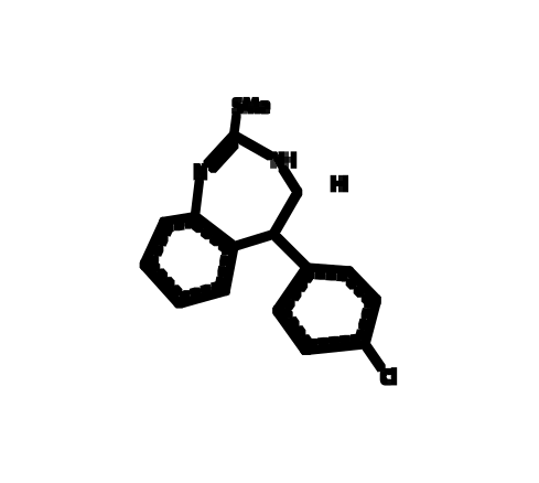 CSC1=Nc2ccccc2C(c2ccc(Cl)cc2)CN1.I